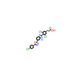 O=C(O)CCc1cc(Cl)c(-c2nc3ccc(-c4nnc(-c5ccc(Cl)cc5)o4)cc3[nH]2)c(Cl)c1